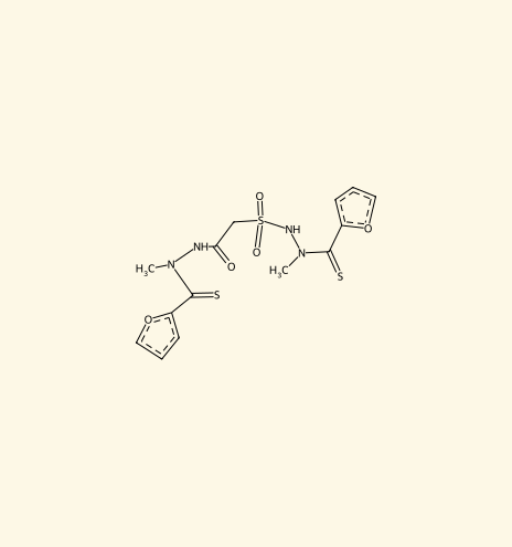 CN(NC(=O)CS(=O)(=O)NN(C)C(=S)c1ccco1)C(=S)c1ccco1